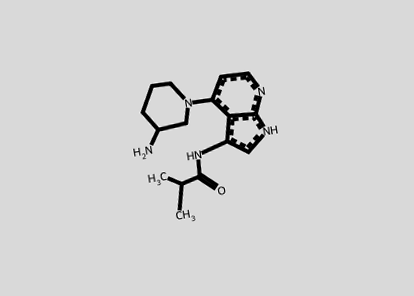 CC(C)C(=O)Nc1c[nH]c2nccc(N3CCCC(N)C3)c12